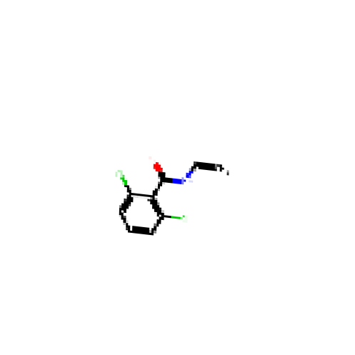 C=CNC(=O)c1c(Cl)cccc1Cl